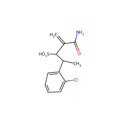 C=C(C(N)=O)C(C(C)c1ccccc1Cl)S(=O)(=O)O